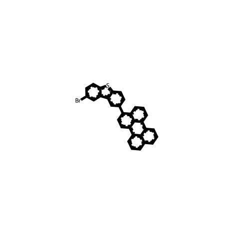 Brc1ccc2sc3ccc(-c4ccc5c6cccc7cccc(c8cccc4c85)c76)cc3c2c1